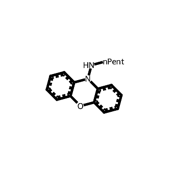 CCCCCNN1c2ccccc2Oc2ccccc21